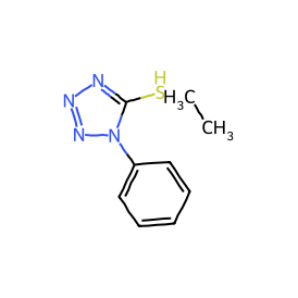 CC.Sc1nnnn1-c1ccccc1